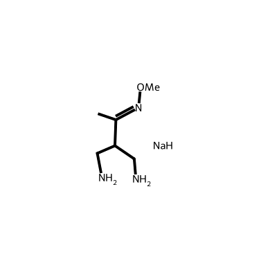 CO/N=C(\C)C(CN)CN.[NaH]